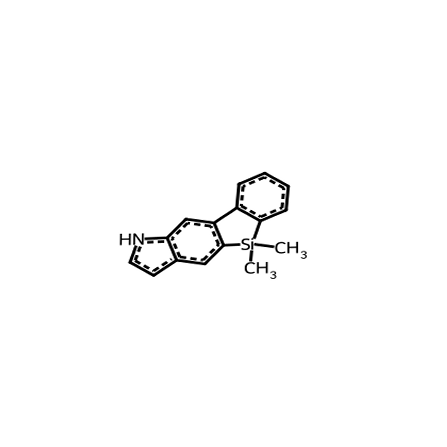 C[Si]1(C)c2ccccc2-c2cc3[nH]ccc3cc21